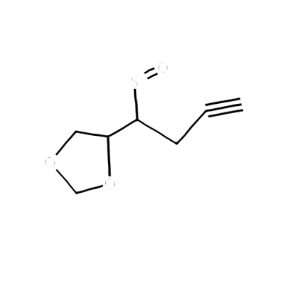 C#CCC([S+]=O)C1COCO1